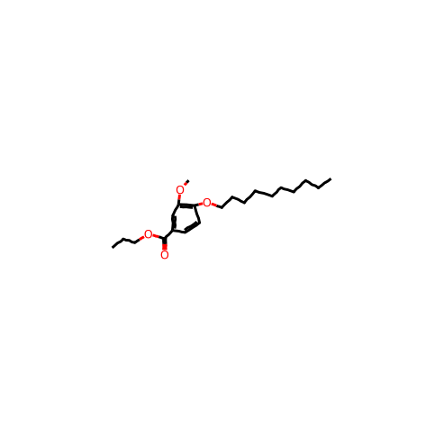 CCCCCCCCCCOc1ccc(C(=O)OCCC)cc1OC